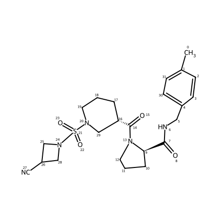 Cc1ccc(CNC(=O)[C@H]2CCCN2C(=O)[C@H]2CCCN(S(=O)(=O)N3CC(C#N)C3)C2)cc1